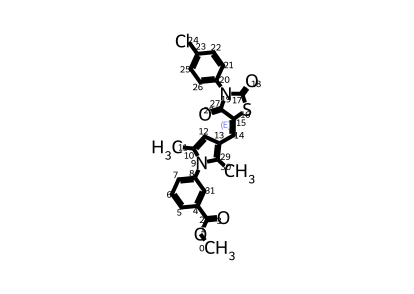 COC(=O)c1cccc(-n2c(C)cc(/C=C3/SC(=O)N(c4ccc(Cl)cc4)C3=O)c2C)c1